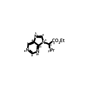 CCOC(=O)C(C(C)C)n1cnc2cncnc21